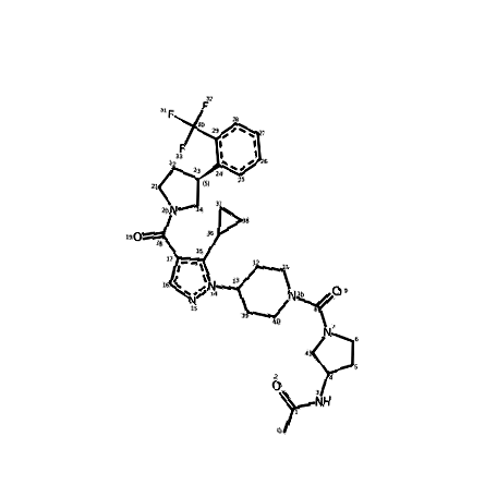 CC(=O)NC1CCN(C(=O)N2CCC(n3ncc(C(=O)N4CC[C@@H](c5ccccc5C(F)(F)F)C4)c3C3CC3)CC2)C1